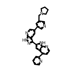 c1ccc(-c2ccnc3[nH]c(-c4n[nH]c5ncc(-c6cncc(CN7CCCC7)c6)cc45)cc23)nc1